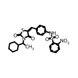 CC(C1CCCCC1)N1C(=O)SC(=Cc2ccc(NS(=O)(=O)c3ccccc3[N+](=O)[O-])cc2)C1=O